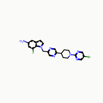 Nc1cc(F)c2c(ccn2Cc2cnc(C3CCN(c4ncc(Br)cn4)CC3)cn2)c1